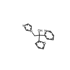 OC(Cn1ccnc1)(c1ccccn1)c1cccs1